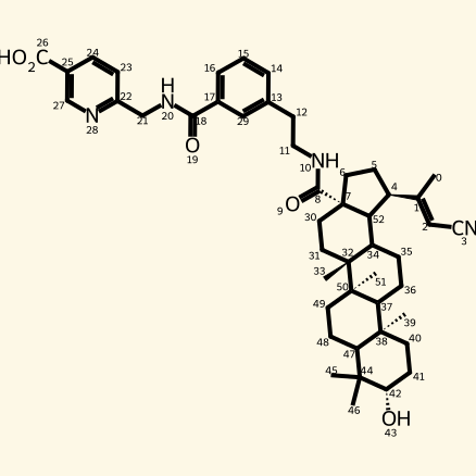 CC(=CC#N)[C@@H]1CC[C@]2(C(=O)NCCc3cccc(C(=O)NCc4ccc(C(=O)O)cn4)c3)CC[C@]3(C)C(CCC4[C@@]5(C)CC[C@H](O)C(C)(C)C5CC[C@]43C)C12